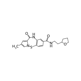 Cc1cc2n(c1)Sc1ccc(C(=O)NCCC3CCCO3)cc1NC2=O